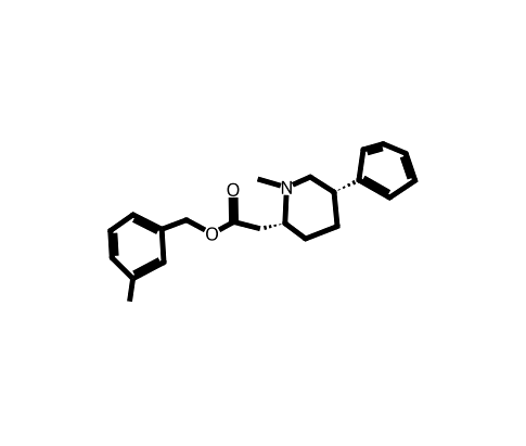 Cc1cccc(COC(=O)C[C@H]2CC[C@@H](c3ccccc3)CN2C)c1